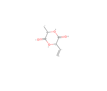 C=CC1OC(=O)C(C)OC1=O